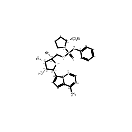 CCOC(=O)[C@H]1CCCN1P(=O)(OC[C@@]1(C#N)O[C@@H](c2ccc3c(N)ncnn23)[C@H](O)[C@@H]1O)Oc1ccccc1